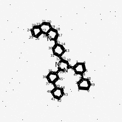 c1ccc(-c2cccc(-c3cc(-c4ccc(-c5ccc6ccc7ccccc7c6n5)cc4)nc(-c4cccc(-c5ccccc5)c4)n3)c2)cc1